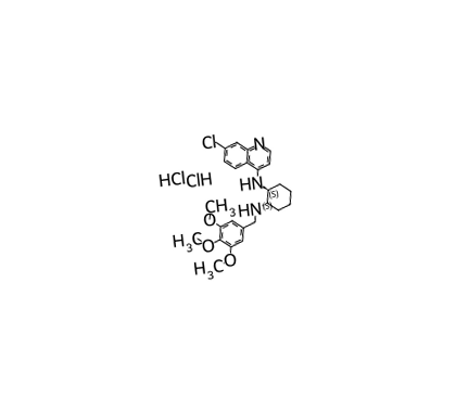 COc1cc(CN[C@H]2CCCC[C@@H]2Nc2ccnc3cc(Cl)ccc23)cc(OC)c1OC.Cl.Cl